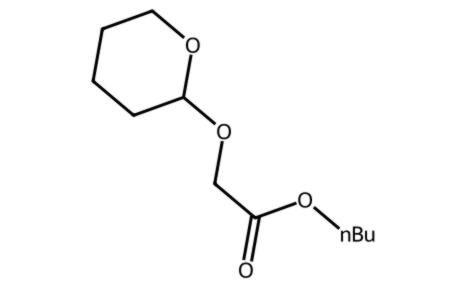 CCCCOC(=O)COC1CCCCO1